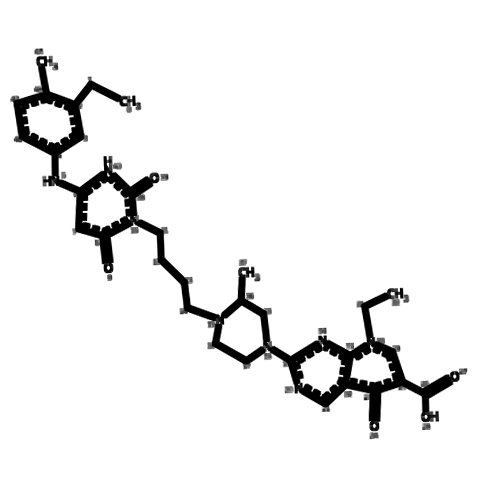 CCc1cc(Nc2cc(=O)n(CCCCN3CCN(c4ncc5c(=O)c(C(=O)O)cn(CC)c5n4)CC3C)c(=O)[nH]2)ccc1C